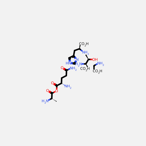 C[C@@H](O)[C@H](N)C(=O)O.C[C@H](N)C(=O)OC(=O)[C@@H](N)CCC(N)=O.NCC(=O)O.N[C@@H](Cc1c[nH]cn1)C(=O)O